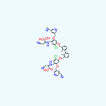 C/N=C/c1cncc(COc2cc(OCc3cccc(-c4cccc(COc5cc(OCc6cncc(C7=NC7)c6)c(CN[C@@H](CC#N)C(O)O)cc5Cl)c4C)c3C)c(Cl)cc2CN[C@@H](CC#N)C(=O)O)c1